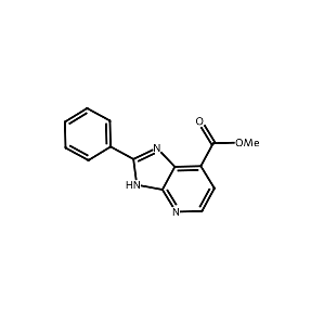 COC(=O)c1ccnc2[nH]c(-c3ccccc3)nc12